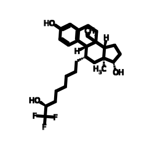 C=CC12CCc3cc(O)ccc3[C@H]1[C@@H](CCCCCC[C@H](O)C(F)(F)F)C[C@]1(C)[C@@H](O)CC[C@@H]21